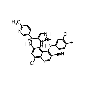 Cc1ccc([C@H](Nc2cc(Cl)c3ncc(C#N)c(Nc4ccc(F)c(Cl)c4)c3c2)C2=CNNN2)cn1